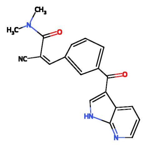 CN(C)C(=O)C(C#N)=Cc1cccc(C(=O)c2c[nH]c3ncccc23)c1